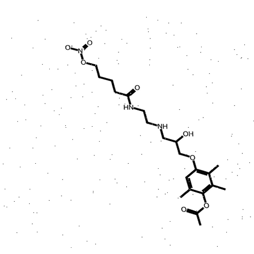 CC(=O)Oc1c(C)cc(OCC(O)CNCCNC(=O)CCCCO[N+](=O)[O-])c(C)c1C